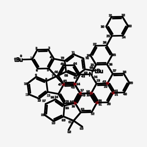 CC(C)(C)c1ccc2c(c1)C1(c3ccccc3-c3ccc(-c4ccccc4N(c4ccc(-c5ccccc5)cc4-c4ccccc4)c4ccccc4-c4cccc5c4-c4ccccc4C5(C)C)cc31)c1cc(C(C)(C)C)ccc1-2